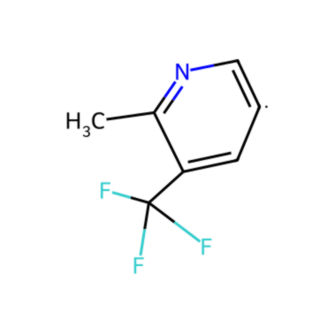 Cc1nc[c]cc1C(F)(F)F